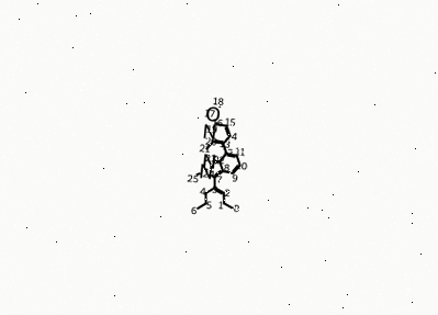 CCC=C(CCC)c1c2cccc(-c3ccc(OC)nc3C)c2nn1C